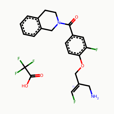 NC/C(=C\F)COc1ccc(C(=O)N2CCc3ccccc3C2)cc1F.O=C(O)C(F)(F)F